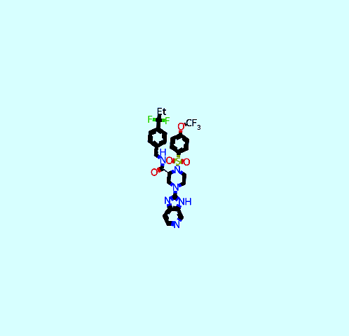 CCC(F)(F)c1ccc(CNC(=O)[C@H]2CN(c3nc4ccncc4[nH]3)CCN2S(=O)(=O)c2ccc(OC(F)(F)F)cc2)cc1